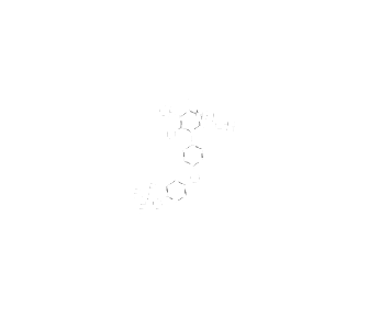 Cc1[nH]c(CO)c(-c2ccc(Oc3ccc(OC(F)(F)F)cc3)cc2)c(=O)c1Cl